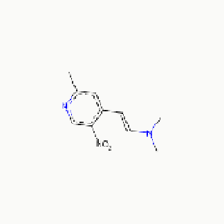 Cc1cc(/C=C/N(C)C)c([N+](=O)[O-])cn1